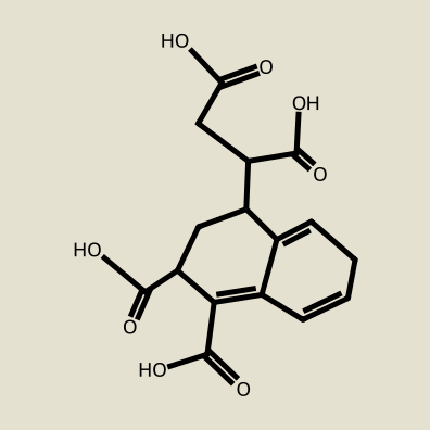 O=C(O)CC(C(=O)O)C1CC(C(=O)O)C(C(=O)O)=C2C=CCC=C21